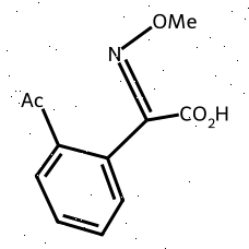 CON=C(C(=O)O)c1ccccc1C(C)=O